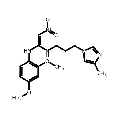 COc1ccc(NC(=C[N+](=O)[O-])NCCCn2cnc(C)c2)c(OC)c1